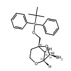 B[C@@H]1O[C@@]2(CO[Si](c3ccccc3)(c3ccccc3)C(C)(C)C)CCO[C@@H]1[C@@H]2O